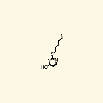 CCCCCCSc1nccc(O)n1